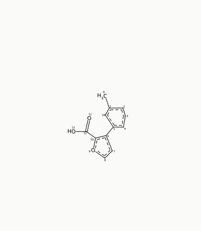 Cc1cccc(-c2ccoc2C(=O)O)c1